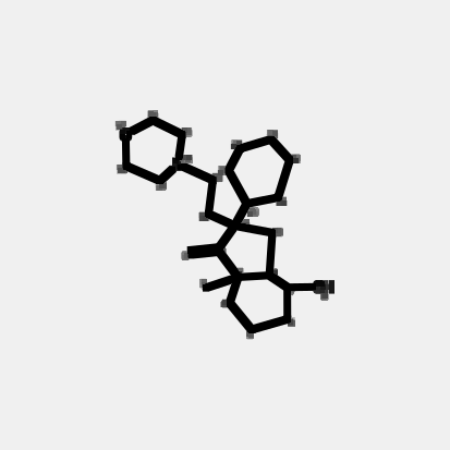 C=C1C2(C)CCCC(O)C2CC1(CCN1CCOCC1)C1CCCCC1